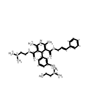 CC1=C(C(=O)OC/C=C/c2ccccc2)C(c2cccc([N+](=O)[O-])c2)C(C(=O)OCCN(C)C)=C(C)N1.CN(C)CCO